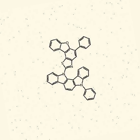 c1ccc(-c2cc3nc(-n4c5ccccc5c5ccc6c(c7ccccc7n6-c6ccccc6)c54)sc3c3c2oc2ccccc23)cc1